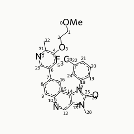 COCCOc1cc(-c2ccc3ncc4c(c3c2)n(-c2cccc(C(F)(F)F)c2)c(=O)n4C)cnc1C